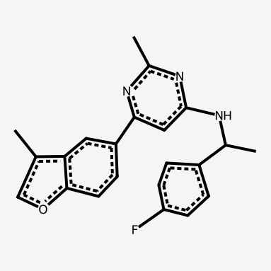 Cc1nc(NC(C)c2ccc(F)cc2)cc(-c2ccc3occ(C)c3c2)n1